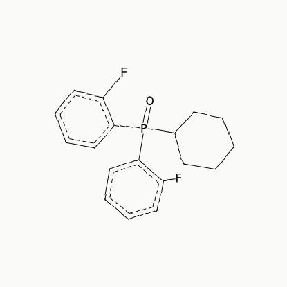 O=P(c1ccccc1F)(c1ccccc1F)C1CCCCC1